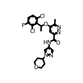 Cc1nnc(C(=O)Nc2cnn(C3CCOCC3)c2)cc1OC(C)c1c(Cl)ccc(F)c1Cl